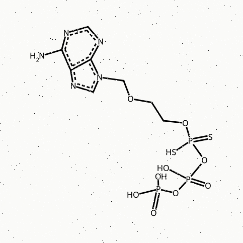 Nc1ncnc2c1ncn2COCCOP(=S)(S)OP(=O)(O)OP(=O)(O)O